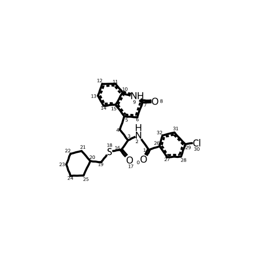 O=C(NC(Cc1cc(=O)[nH]c2ccccc12)C(=O)SCC1CCCCC1)c1ccc(Cl)cc1